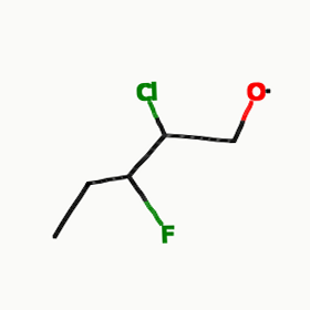 CCC(F)C(Cl)C[O]